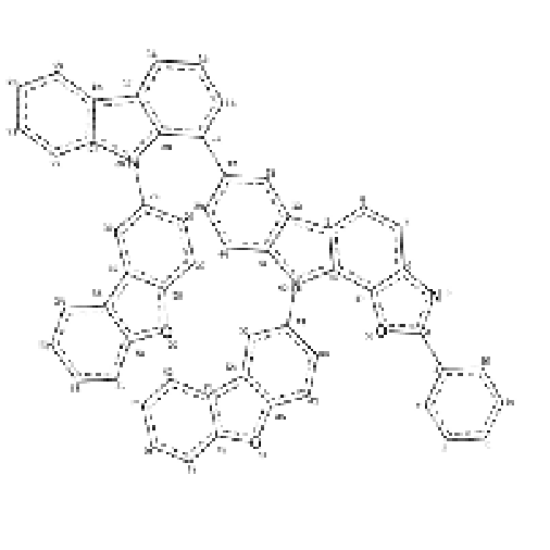 c1ccc(-c2nc3ccc4c5cc(-c6cccc7c8ccccc8n(-c8ccc9oc%10ccccc%10c9c8)c67)ccc5n(-c5ccc6oc7ccccc7c6c5)c4c3o2)cc1